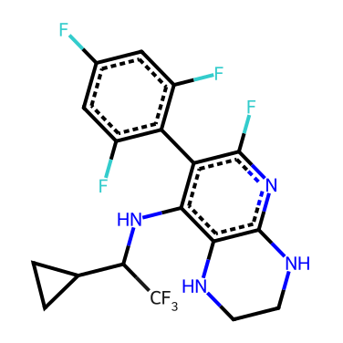 Fc1cc(F)c(-c2c(F)nc3c(c2NC(C2CC2)C(F)(F)F)NCCN3)c(F)c1